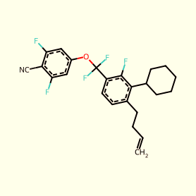 C=CCCc1ccc(C(F)(F)Oc2cc(F)c(C#N)c(F)c2)c(F)c1C1CCCCC1